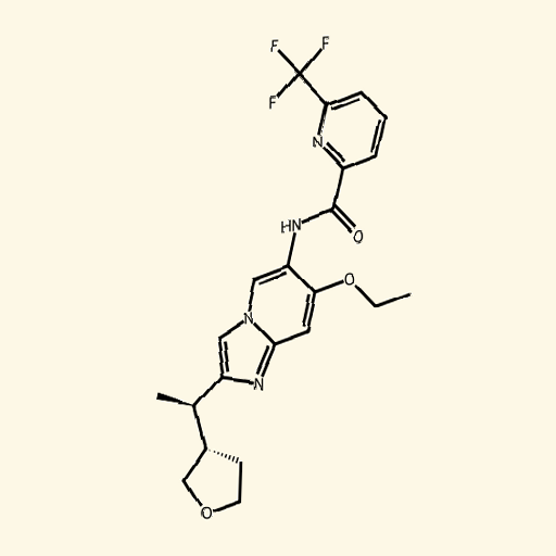 CCOc1cc2nc([C@H](C)[C@@H]3CCOC3)cn2cc1NC(=O)c1cccc(C(F)(F)F)n1